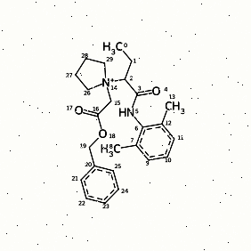 CCC(C(=O)Nc1c(C)cccc1C)[N+]1(CC(=O)OCc2ccccc2)CCCC1